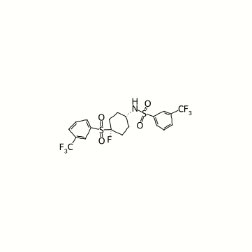 O=S(=O)(N[C@H]1CC[C@](F)(S(=O)(=O)c2cccc(C(F)(F)F)c2)CC1)c1cccc(C(F)(F)F)c1